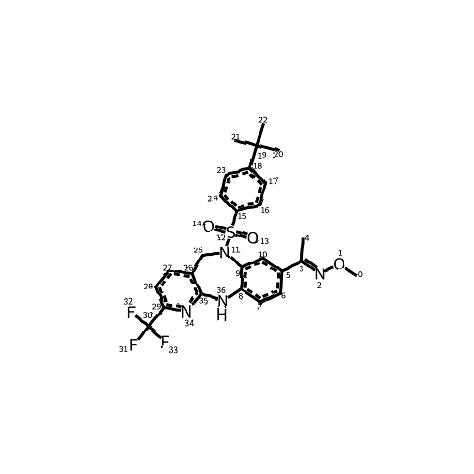 CO/N=C(\C)c1ccc2c(c1)N(S(=O)(=O)c1ccc(C(C)(C)C)cc1)Cc1ccc(C(F)(F)F)nc1N2